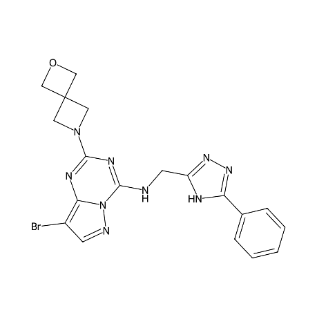 Brc1cnn2c(NCc3nnc(-c4ccccc4)[nH]3)nc(N3CC4(COC4)C3)nc12